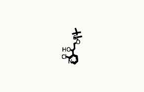 CC(C)(C)[Si](C)(C)OCCC(O)c1cccnc1Cl